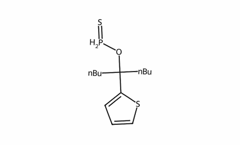 CCCCC(CCCC)(O[PH2]=S)c1cccs1